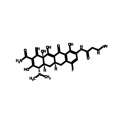 B=C1C(C(N)=O)=C(O)[C@@H](N(C)C)[C@@H]2C[C@@H]3Cc4c(F)cc(NC(=O)CNCCC)c(O)c4C(=O)C3=C(O)[C@]12O